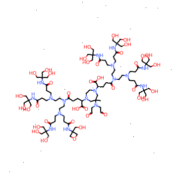 CC1(N(CC=O)CC=O)CN(C(CCC(=O)N(CCN(CCC(=O)NC(CO)(CO)CO)CCC(=O)NC(CO)(CO)CO)CCN(CCC(=O)NC(CO)(CO)CO)CCC(=O)NC(CO)(CO)CO)C(=O)O)CCN(C(CCC(=O)N(CCN(CCC(=O)NC(CO)(CO)CO)CCC(=O)NC(CO)(CO)CO)CCN(CCC(=O)NC(CO)(CO)CO)CCC(=O)NC2(CO)COC2)C(=O)O)C1